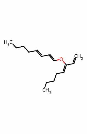 C=CC(=CCCCC)OC=CC=CCCCC